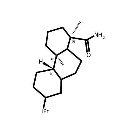 CC(C)C1CC[C@H]2C(CCC3[C@](C)(C(N)=O)CCC[C@@]32C)C1